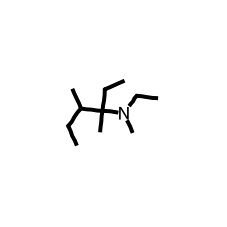 CCC(C)C(C)(CC)N(C)CC